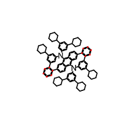 c1ccc(-c2ccc3c(N(c4cc(C5CCCCC5)cc(C5CCCCC5)c4)c4cc(C5CCCCC5)cc(C5CCCCC5)c4)c4cc(-c5ccccc5)ccc4c(N(c4cc(C5CCCCC5)cc(C5CCCCC5)c4)c4cc(C5CCCCC5)cc(C5CCCCC5)c4)c3c2)cc1